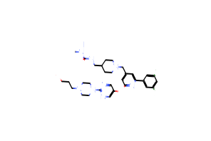 CNC(=O)NCC1CCN(Cc2cc(Oc3cnc(N4CCN(CCCO)CC4)nc3)nc(-c3cc(Cl)cc(Cl)c3)c2)CC1